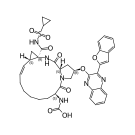 O=C(O)N[C@H]1CCCCCC=C[C@@H]2C[C@@]2(C(=O)NS(=O)(=O)C2CC2)NC(=O)[C@@H]2C[C@@H](Oc3nc4ccccc4nc3-c3cc4ccccc4o3)CN2C1=O